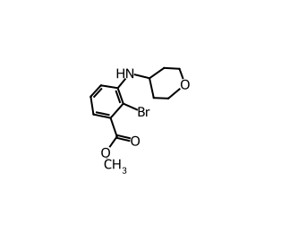 COC(=O)c1cccc(NC2CCOCC2)c1Br